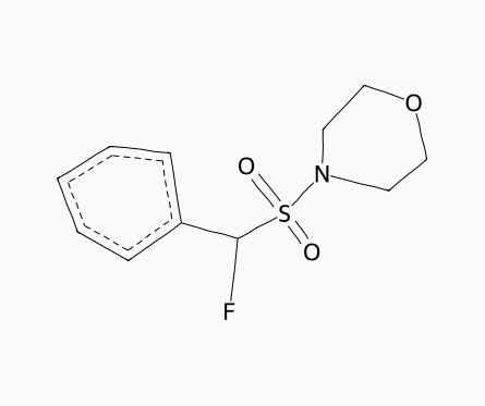 O=S(=O)(C(F)c1ccccc1)N1CCOCC1